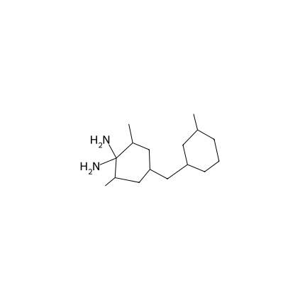 CC1CCCC(CC2CC(C)C(N)(N)C(C)C2)C1